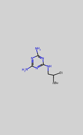 CCCCC(CC)CNc1nc(N)nc(N)n1